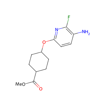 COC(=O)C1CCC(Oc2ccc(N)c(F)n2)CC1